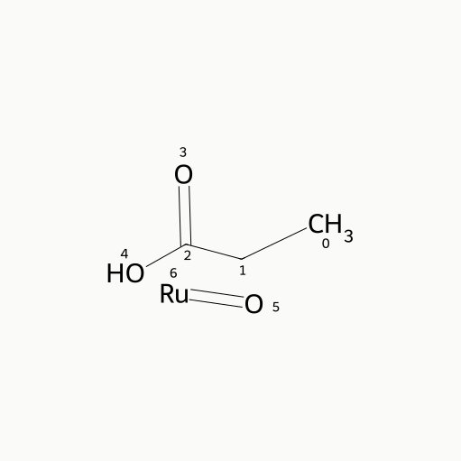 CCC(=O)O.[O]=[Ru]